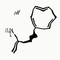 C=C(N)Cc1ccccc1.I